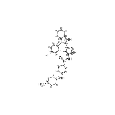 CN1CCC(Nc2ccc(C(=O)Nc3cc(-c4[nH]c5ccccc5c4-c4ccc(F)cc4)n[nH]3)cc2)CC1